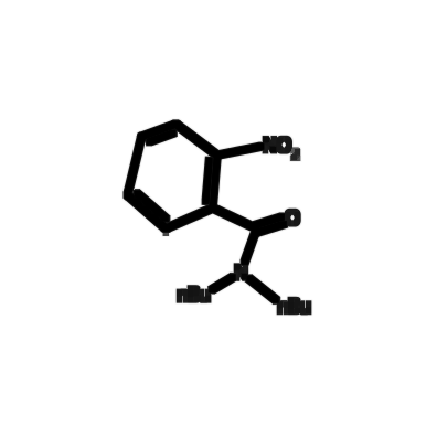 CCCCN(CCCC)C(=O)c1[c]cccc1[N+](=O)[O-]